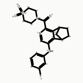 O=C(c1ncc(Nc2cccc(F)c2)c2c1C1CCC2C1)N1CCS(=O)(=O)CC1